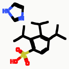 CC(C)c1ccc(S(=O)(=O)O)c(C(C)C)c1C(C)C.c1c[nH]cn1